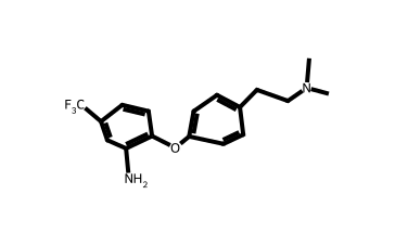 CN(C)CCc1ccc(Oc2ccc(C(F)(F)F)cc2N)cc1